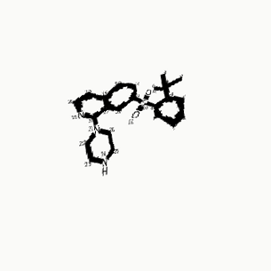 CC(C)(C)c1ccccc1S(=O)(=O)c1ccc2ccnc(N3CCNCC3)c2c1